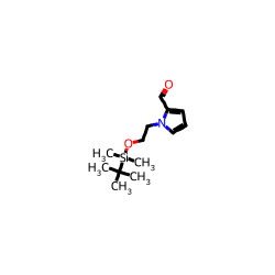 CC(C)(C)[Si](C)(C)OCCn1cccc1C=O